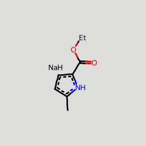 CCOC(=O)c1ccc(C)[nH]1.[NaH]